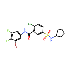 O=C(Nc1cc(F)c(F)c(Br)c1)c1cc(S(=O)(=O)NC2CCCC2)ccc1Cl